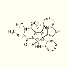 CS[C@H]1C(=O)N2[C@H]3Nc4ccccc4[C@@]3(c3c[nH]c4ccccc34)[C@H](O)[C@]2(SC)C(=O)N1C